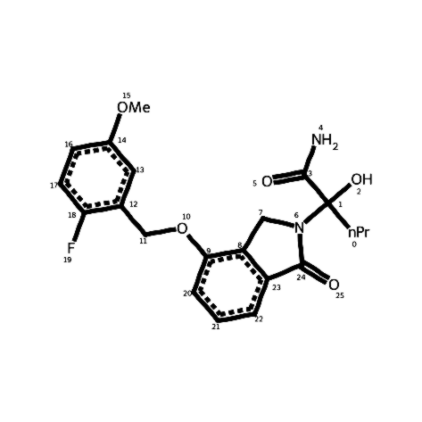 CCCC(O)(C(N)=O)N1Cc2c(OCc3cc(OC)ccc3F)cccc2C1=O